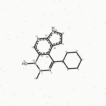 CN1N=C(C2CCCCC2)c2c(cnc3[nH]ccc23)B1O